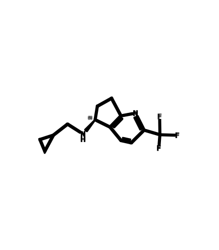 FC(F)(F)c1ccc2c(n1)CC[C@@H]2NCC1CC1